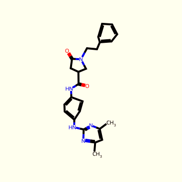 Cc1cc(C)nc(Nc2ccc(NC(=O)C3CC(=O)N(CCc4ccccc4)C3)cc2)n1